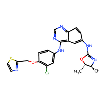 C[C@@H]1N=C(Nc2ccc3ncnc(Nc4ccc(OCc5nccs5)c(Cl)c4)c3c2)O[C@H]1C